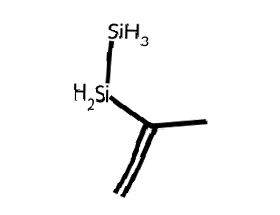 C=C(C)[SiH2][SiH3]